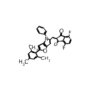 Cc1cc(C)c(-c2cc3c(cc(C=C4C(=O)c5c(F)ccc(F)c5C4=O)n3-c3ccccc3)o2)c(C)c1